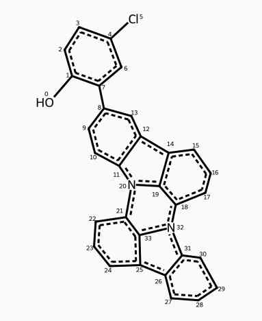 Oc1ccc(Cl)cc1-c1ccc2c(c1)c1cccc3c1n2c1cccc2c4ccccc4n3c21